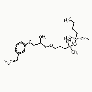 C=Cc1cccc(OCC(O)COCCC[Si](C)(C)O[Si](C)(C)CCCC)c1